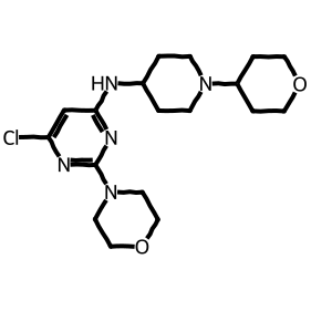 Clc1cc(NC2CCN(C3CCOCC3)CC2)nc(N2CCOCC2)n1